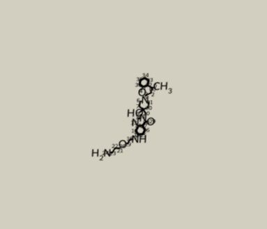 C[C@H](CC(=O)N1CCC(O)(Cn2cnc3cc(NCCOCCCN)ccc3c2=O)CC1)c1ccccc1